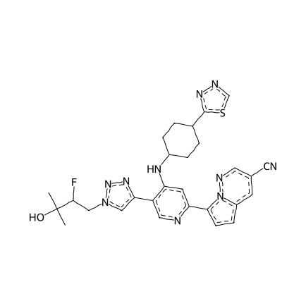 CC(C)(O)C(F)Cn1cc(-c2cnc(-c3ccc4cc(C#N)cnn34)cc2NC2CCC(c3nncs3)CC2)nn1